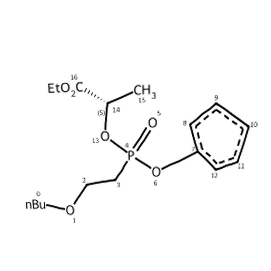 CCCCOCCP(=O)(Oc1ccccc1)O[C@@H](C)C(=O)OCC